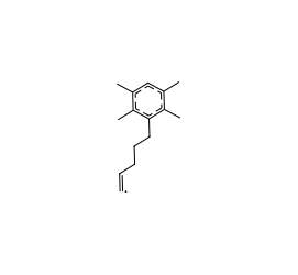 [CH]=CCCCc1c(C)c(C)cc(C)c1C